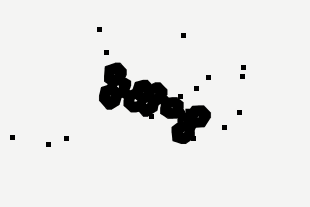 c1ccc2c(c1)cc(-c1ccc3ccc4c(-c5ccc(-n6c7ccccc7c7ccccc76)cc5)ccc5ccc1c3c54)c1ccccc12